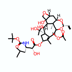 C=C[C@H]1O[C@H]2C[C@H]3OC[C@@]3(O)[C@H]3[C@H](O)[C@]4(C(C)(C)O)C[C@H](OC(=O)[C@H](O)[C@H](CC(C)C)NC(=O)OC(C)(C)C)C(C)=C4[C@H](OC(C)=O)[C@H](O1)[C@]23C